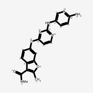 CNC(=O)c1c(C)oc2cc(Oc3ccnc(Nc4ccc(N)nc4)n3)ccc12